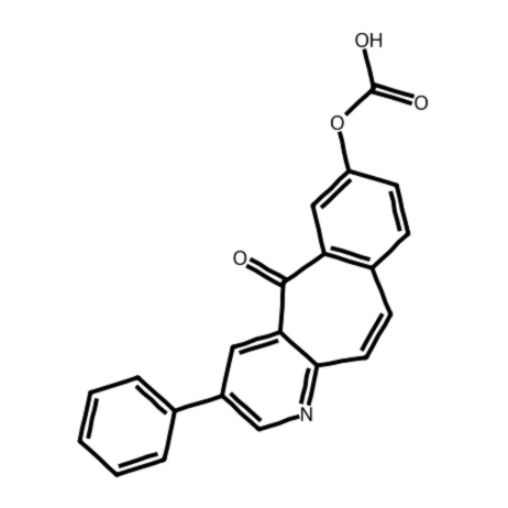 O=C(O)Oc1ccc2ccc3ncc(-c4ccccc4)cc3c(=O)c2c1